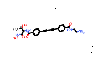 C[C@@H](O)C(NC(=O)c1ccc(C#CC#Cc2ccc(C(=O)NCCN)cc2)cc1)C(=O)NO